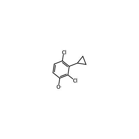 [O]c1ccc(Cl)c(C2CC2)c1Cl